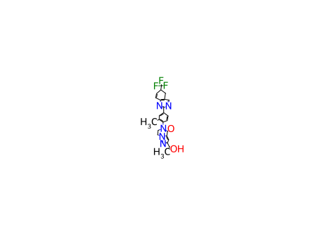 Cc1cc(-c2ncc3c(n2)C=CC(C(F)(F)F)C3)ccc1N1CCn2nc(C(C)O)cc2C1=O